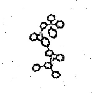 C1=CCCC(S(c2ccccc2)(c2ccccc2)c2cccc(-n3c4ccccc4c4cc(-c5ccc6c(c5)c5ccccc5n6-c5cc(-c6ccccc6)cc(-c6ccccc6)c5)ccc43)c2)=C1